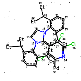 CCC(CC)c1cccc(C(CC)CC)c1N1C=CN(c2c(C(CC)CC)cccc2C(CC)CC)C1=C1C(Cl)=[C]([Pd])N=C(Cl)C1Cl